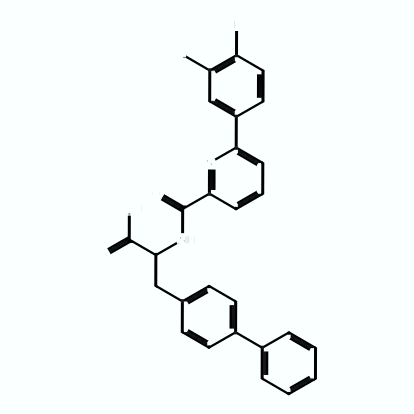 O=C(NC(Cc1ccc(-c2ccccc2)cc1)C(=O)O)c1cccc(-c2ccc(F)c(Cl)c2)n1